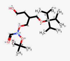 CC(C)[Si](OCC(CCO)CON(C=O)OC(C)(C)C)(C(C)C)C(C)C